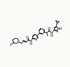 CC(C(=O)Nc1cc(C2CC2)[nH]n1)c1cccc(-c2ccc(NC(=O)/C=C/CN3CCC[C@H](F)C3)nc2)c1